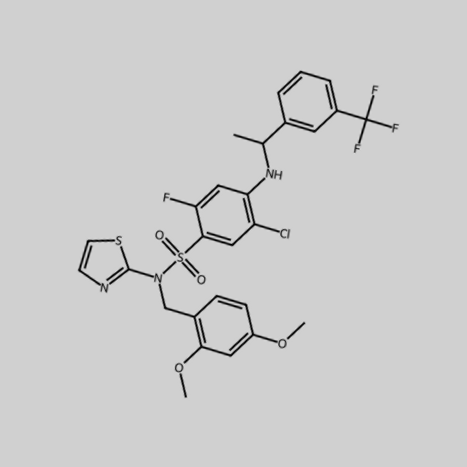 COc1ccc(CN(c2nccs2)S(=O)(=O)c2cc(Cl)c(NC(C)c3cccc(C(F)(F)F)c3)cc2F)c(OC)c1